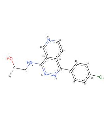 C[C@H](O)CNc1nnc(-c2ccc(Cl)cc2)c2ccncc12